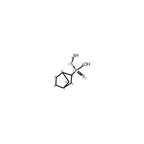 OP(=S)(SS)C1CC2CCC1C2